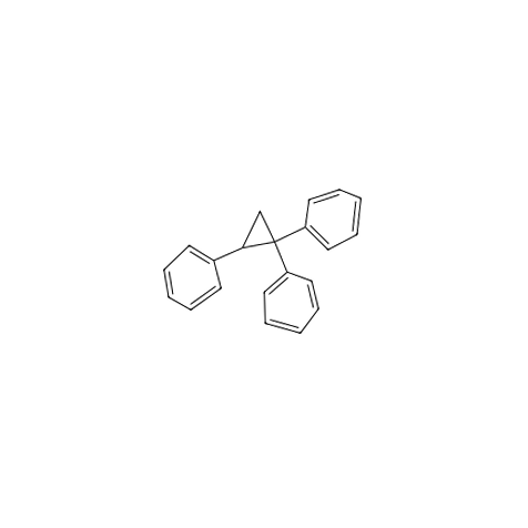 c1ccc(C2CC2(c2ccccc2)c2ccccc2)cc1